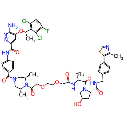 Cc1ncsc1-c1ccc(CNC(=O)[C@@H]2C[C@@H](O)CN2C(=O)[C@@H](NC(=O)COCCOCC(=O)N2[C@H](C)CN(C(=O)c3ccc(NC(=O)c4cc(O[C@H](C)c5c(Cl)ccc(F)c5Cl)c(N)nn4)cc3)C[C@@H]2C)C(C)(C)C)cc1